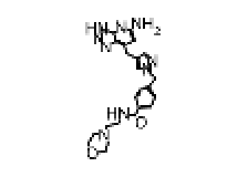 Nc1cc(Cc2cnn(Cc3ccc(C(=O)NCCN4CCOCC4)cc3)c2)c2nn[nH]c2n1